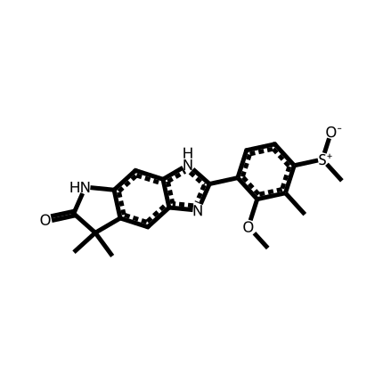 COc1c(-c2nc3cc4c(cc3[nH]2)NC(=O)C4(C)C)ccc([S+](C)[O-])c1C